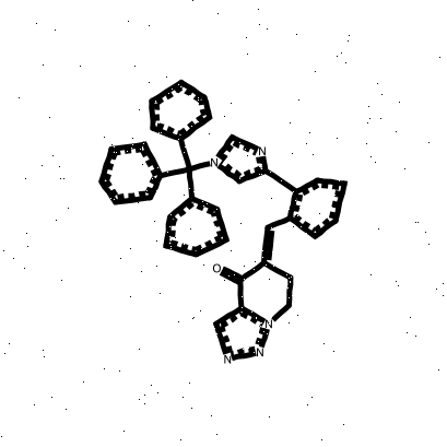 O=C1/C(=C/c2ccccc2-c2cn(C(c3ccccc3)(c3ccccc3)c3ccccc3)cn2)CCn2nncc21